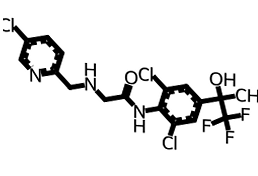 CC(O)(c1cc(Cl)c(NC(=O)CNCc2ccc(Cl)cn2)c(Cl)c1)C(F)(F)F